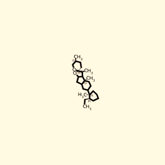 CC[C@@H]1CCCC[C@]1(C)C1CC[C@@]2(C)C(CC3O[C@]4(CC[C@H](C)CO4)[C@@H](C)C32)C1